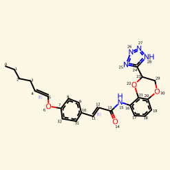 CCCC/C=C/Oc1ccc(/C=C/C(=O)Nc2cccc3c2OC(c2nnn[nH]2)CO3)cc1